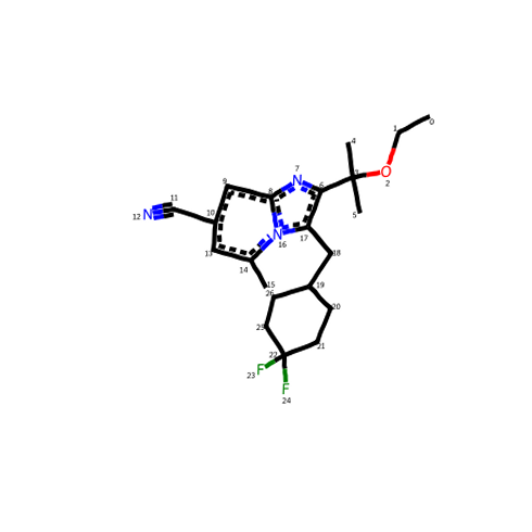 CCOC(C)(C)c1nc2cc(C#N)cc(C)n2c1CC1CCC(F)(F)CC1